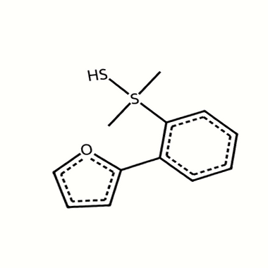 CS(C)(S)c1ccccc1-c1ccco1